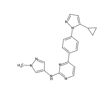 Cn1cc(Nc2nccc(-c3ccc(-n4nccc4C4CC4)cc3)n2)cn1